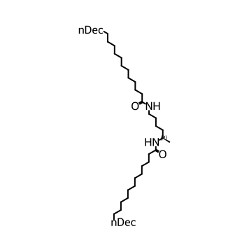 CCCCCCCCCCCCCCCCCCCCCC(=O)NCCCC[C@@H](C)NC(=O)CCCCCCCCCCCCCCCCCCCCC